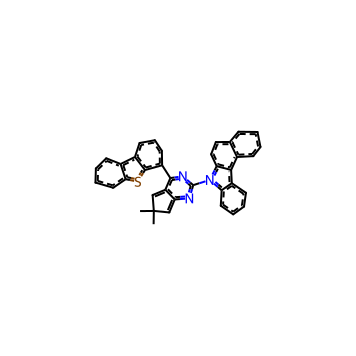 CC1(C)C=c2nc(-n3c4ccccc4c4c5ccccc5ccc43)nc(-c3cccc4c3sc3ccccc34)c2=C1